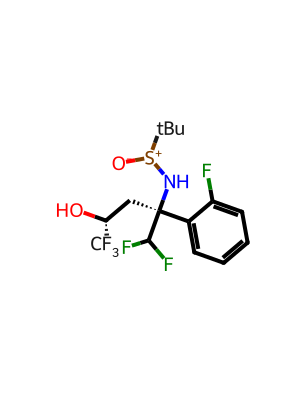 CC(C)(C)[S+]([O-])N[C@@](C[C@@H](O)C(F)(F)F)(c1ccccc1F)C(F)F